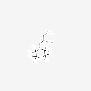 [2H]C1([2H])OC([2H])([2H])C([2H])([2H])N(C[C@H](O)CN)C1([2H])[2H]